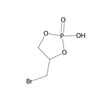 O=P1(O)OCC(CBr)O1